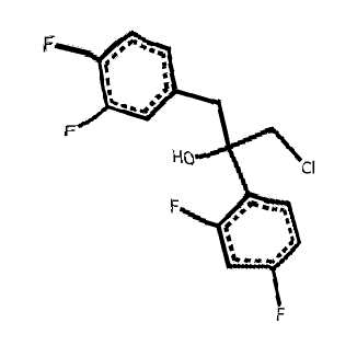 OC(CCl)(Cc1ccc(F)c(F)c1)c1ccc(F)cc1F